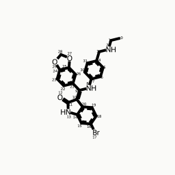 CCNCc1ccc(NC(=C2C(=O)Nc3cc(Br)ccc32)c2ccc3c(c2)OCO3)cc1